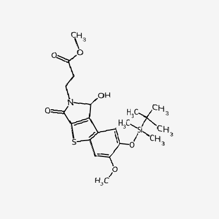 COC(=O)CCN1C(=O)c2sc3cc(OC)c(O[Si](C)(C)C(C)(C)C)cc3c2C1O